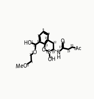 COCCOC(O)c1cccc2c1OB(O)[C@@H](NC(=O)CCC(C)=O)C2